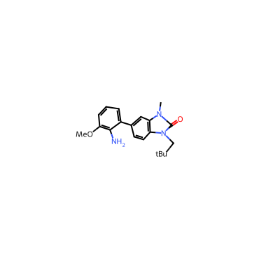 COc1cccc(-c2ccc3c(c2)n(C)c(=O)n3CC(C)(C)C)c1N